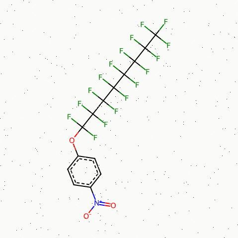 O=[N+]([O-])c1ccc(OC(F)(F)C(F)(F)C(F)(F)C(F)(F)C(F)(F)C(F)(F)C(F)(F)C(F)(F)F)cc1